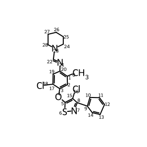 Cc1cc(Oc2snc(-c3ccccc3)c2Cl)c(Cl)cc1N=CN1CCCCC1